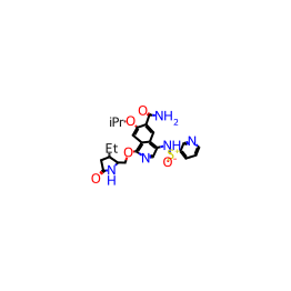 CCC1CC(=O)NC1COc1ncc(N[S+]([O-])c2cccnc2)c2cc(C(N)=O)c(OC(C)C)cc12